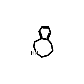 c1ccc2c(c1)CCCCNCC2